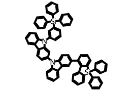 c1ccc([Si](c2ccccc2)(c2ccccc2)c2cccc(-n3c4ccccc4c4ccc(-n5c6ccccc6c6cc(-c7cccc8c7-c7ccccc7[Si]8(c7ccccc7)c7ccccc7)ccc65)cc43)c2)cc1